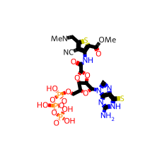 CNCc1sc(C(=O)OC)c(NC(=O)C2OC3C(COP(=O)(O)OP(=O)(O)OP(=O)(O)O)OC(n4cnc5c(=S)[nH]c(N)nc54)C3O2)c1C#N